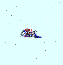 CC[C@H](C)[C@@H]([C@H](CC(=O)N1CCC[C@H]1[C@H](OC)[C@@H](C)C(=O)N[C@H](CO)Cc1ccccc1)OC)N(C)C(=O)[C@@H](NC(=O)N1CCN(C)CC1)C(C)C